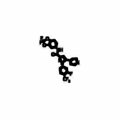 O=C(Nc1ccc2c(c1)OC(F)(F)O2)c1cc(-c2ccncc2)n(-c2ccc(C(F)(F)F)c(F)c2)n1